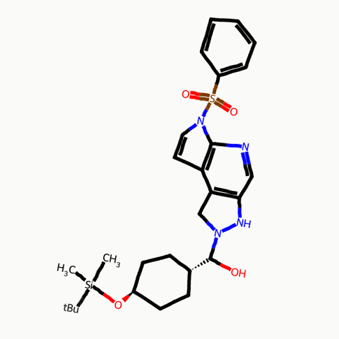 CC(C)(C)[Si](C)(C)O[C@H]1CC[C@H](C(O)N2Cc3c(cnc4c3ccn4S(=O)(=O)c3ccccc3)N2)CC1